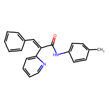 Cc1ccc(NC(=O)/C(=C/c2ccccc2)c2ccccn2)cc1